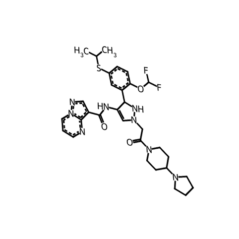 CC(C)Sc1ccc(OC(F)F)c(C2NN(CC(=O)N3CCC(N4CCCC4)CC3)C=C2NC(=O)c2cnn3cccnc23)c1